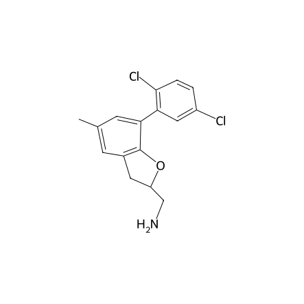 Cc1cc2c(c(-c3cc(Cl)ccc3Cl)c1)OC(CN)C2